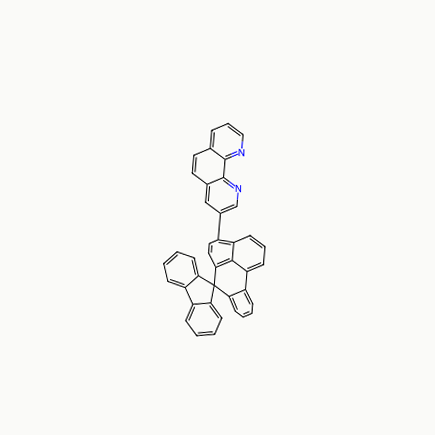 c1ccc2c(c1)-c1ccccc1C21c2ccccc2-c2cccc3c(-c4cnc5c(ccc6cccnc65)c4)ccc1c23